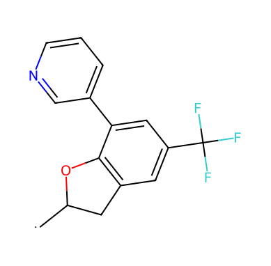 [CH2]C1Cc2cc(C(F)(F)F)cc(-c3cccnc3)c2O1